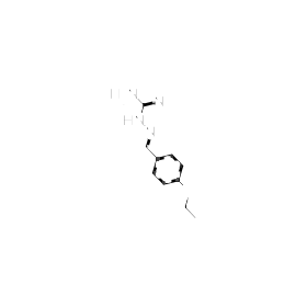 CCOc1ccc(C=NNC(=N)N)cc1